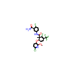 COc1nc(Cl)ccc1OC1C=CC(C(F)(F)F)=C(F)C1(C)C(=O)Nc1ccc(F)c(C(N)=O)c1